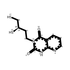 O=c1[nH]c2ncccc2c(=O)n1CC[C@@H](S)CS